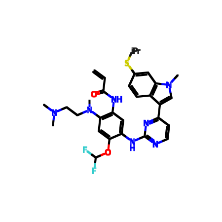 C=CC(=O)Nc1cc(Nc2nccc(-c3cn(C)c4cc(SC(C)C)ccc34)n2)c(OC(F)F)cc1N(C)CCN(C)C